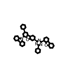 c1ccc(-c2cc(-n3c4ccccc4c4ccccc43)c3oc4cc(-c5nc(-c6ccccc6)nc(-c6cccc7c6oc6ccccc67)n5)ccc4c3c2)cc1